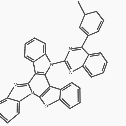 CC1C=C(c2nc(-n3c4ccccc4c4c3c3c5ccccc5oc3n3c5ccccc5nc43)nc3ccccc23)C=CC1